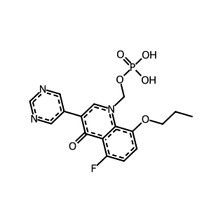 CCCOc1ccc(F)c2c(=O)c(-c3cncnc3)cn(COP(=O)(O)O)c12